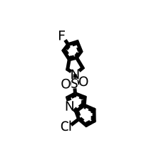 O=S(=O)(c1cnc2c(Cl)cccc2c1)N1Cc2ccc(F)cc2C1